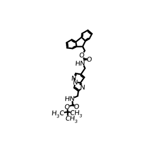 CC(C)(C)OC(=O)NCc1cn2ncc(CNC(=O)OCC3c4ccccc4-c4ccccc43)cc2n1